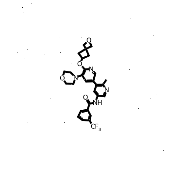 Cc1ncc(NC(=O)c2cccc(C(F)(F)F)c2)cc1-c1cnc(OC2CC3(COC3)C2)c(N2CCOCC2)c1